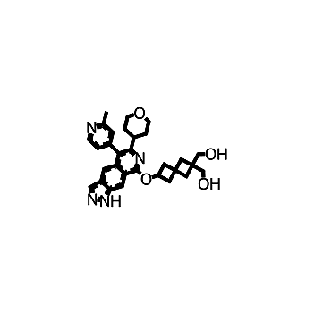 Cc1cc(-c2c(C3CCOCC3)nc(OC3CC4(C3)CC(CO)(CO)C4)c3cc4[nH]ncc4cc23)ccn1